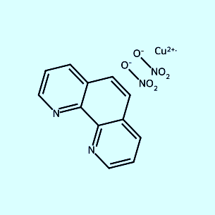 O=[N+]([O-])[O-].O=[N+]([O-])[O-].[Cu+2].c1cnc2c(c1)ccc1cccnc12